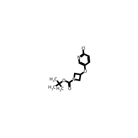 CC(C)(C)OC(=O)N1CC(Oc2ccc(Cl)nc2)C1